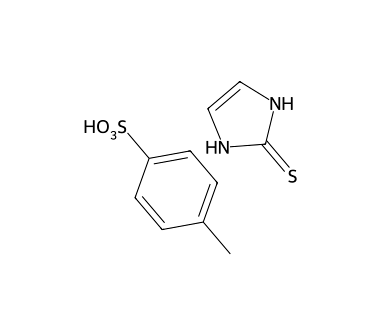 Cc1ccc(S(=O)(=O)O)cc1.S=c1[nH]cc[nH]1